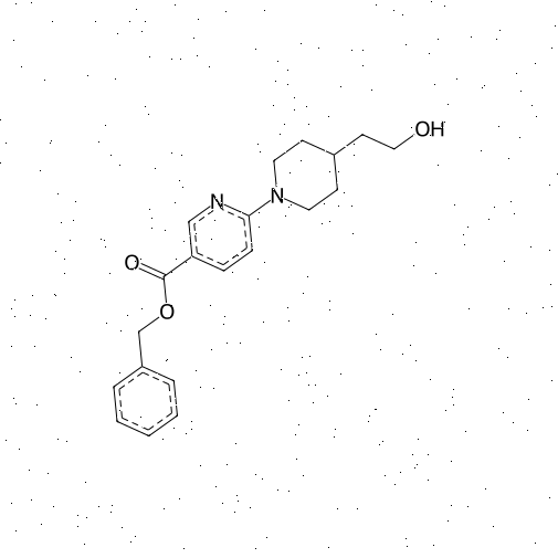 O=C(OCc1ccccc1)c1ccc(N2CCC(CCO)CC2)nc1